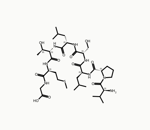 CSCC[C@H](NC(=O)[C@@H](NC(=O)[C@H](CC(C)C)NC(=O)[C@H](CO)NC(=O)[C@H](CC(C)C)NC(=O)[C@@H]1CCCN1C(=O)[C@@H](N)C(C)C)[C@@H](C)O)C(=O)NCC(=O)O